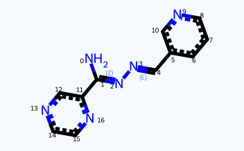 N/C(=N\N=C\c1cccnc1)c1cnccn1